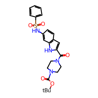 CC(C)(C)OC(=O)N1CCN(C(=O)c2cc3ccc(NS(=O)(=O)c4ccccc4)cc3[nH]2)CC1